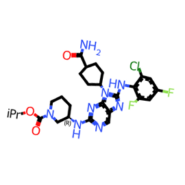 CC(C)OC(=O)N1CCC[C@@H](Nc2ncc3nc(Nc4c(F)cc(F)cc4Cl)n(C4CCC(C(N)=O)CC4)c3n2)C1